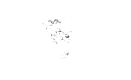 C=C1C[C@@H](C[C@H]2C[C@@H](O[Si](C)(C)C(C)(C)C)C[C@@H](C[C@H](CCO[Si](c3ccccc3)(c3ccccc3)C(C)(C)C)OCc3ccc(OC)cc3)O2)O[C@@H](/C=C/C(C)(C)[C@]2(OC)O[C@H](C[C@@H](O[Si](C)(C)C(C)(C)C)[C@@H](C)OCOCc3ccccc3)C/C(=C\C(=O)OC)C2=O)C1